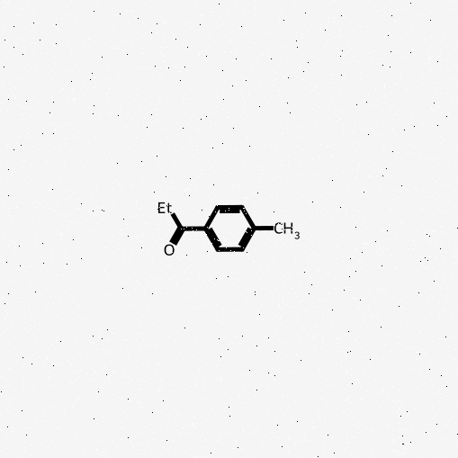 [CH2]CC(=O)c1ccc(C)cc1